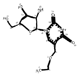 CCOCc1cn([C@H]2O[C@@H](CO)C(O)C2O)c(=O)[nH]c1=O